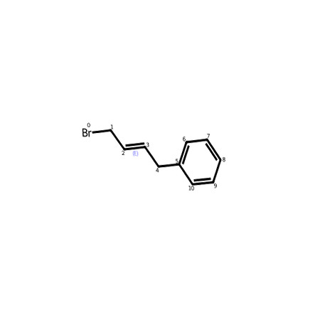 BrC/C=C/Cc1ccccc1